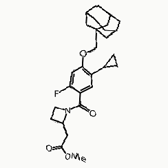 COC(=O)CC1CCN1C(=O)c1cc(C2CC2)c(OCC23CC4CC(CC(C4)C2)C3)cc1F